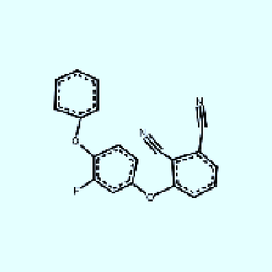 N#Cc1cccc(Oc2ccc(Oc3ccccc3)c(F)c2)c1C#N